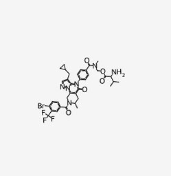 CC(C)C(N)C(=O)OCN(C)C(=O)c1ccc(-n2c(=O)c3c(n4ncc(CC5CC5)c24)CN(C(=O)c2ccc(Br)c(C(F)(F)F)c2)C(C)C3)cc1